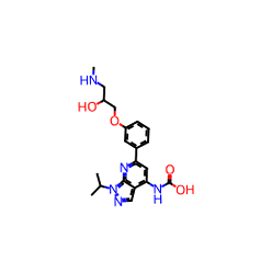 CNCC(O)COc1cccc(-c2cc(NC(=O)O)c3cnn(C(C)C)c3n2)c1